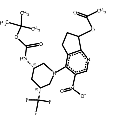 CC(=O)OC1CCc2c1ncc([N+](=O)[O-])c2N1C[C@@H](NC(=O)OC(C)(C)C)C[C@@H](C(F)(F)F)C1